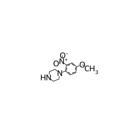 COc1ccc(N2CCNCC2)c([N+](=O)[O-])c1